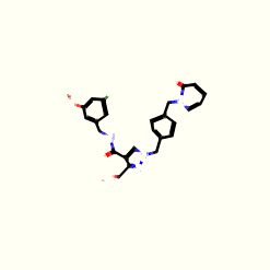 COCc1nn(Cc2ccc(Cn3ccccc3=O)cc2)cc1C(=O)NCc1cc(Cl)cc(OC)c1